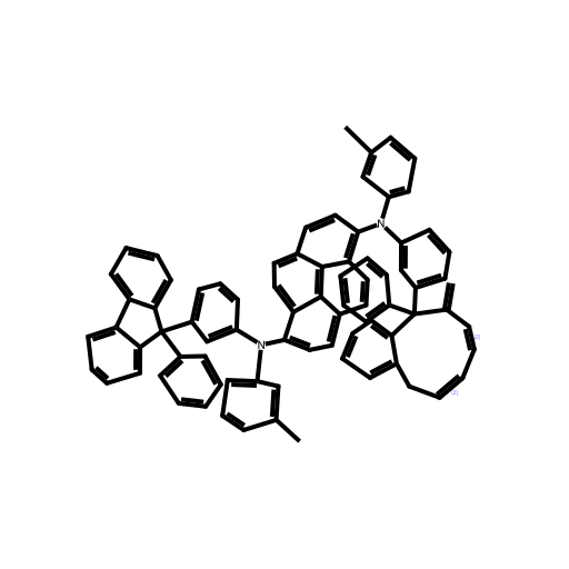 C=C1/C=C\C=C/Cc2ccccc2C1(c1ccccc1)c1cccc(N(c2cccc(C)c2)c2ccc3ccc4c(N(c5cccc(C)c5)c5cccc(C6(c7ccccc7)c7ccccc7-c7ccccc76)c5)ccc5ccc2c3c54)c1